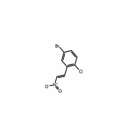 O=[N+]([O-])C=Cc1cc(Br)ccc1Cl